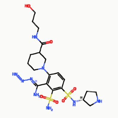 N=N/N=C(\N)c1c(N2CCCC(C(=O)NCCCO)C2)ccc(S(=O)(=O)N[C@@H]2CCNC2)c1S(N)(=O)=O